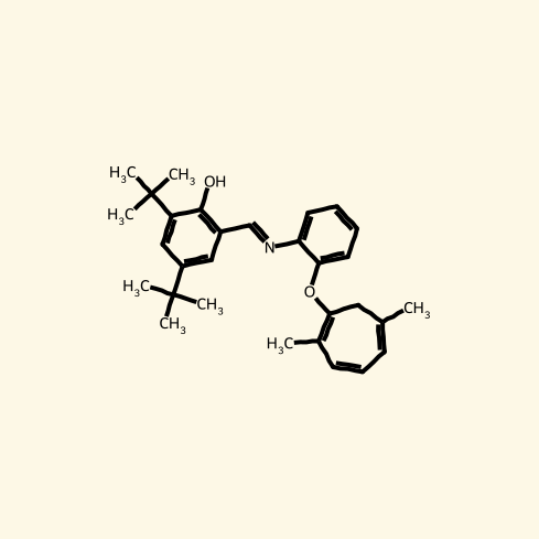 CC1=CC=CC(C)=C(Oc2ccccc2/N=C/c2cc(C(C)(C)C)cc(C(C)(C)C)c2O)C1